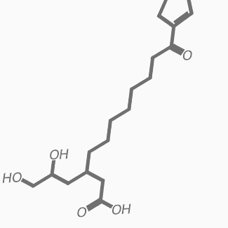 O=C(O)CC(CCCCCCCC(=O)C1=CCCC1)CC(O)CO